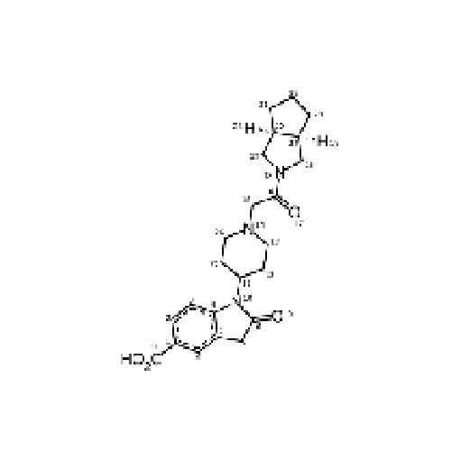 O=C(O)c1ccc2c(c1)CC(=O)N2C1CCN(CC(=O)N2C[C@H]3CCC[C@H]3C2)CC1